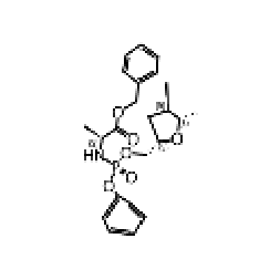 C[C@H](NP(=O)(OC[C@@H]1C[C@@H](C)[C@H](C)O1)Oc1ccccc1)C(=O)OCc1ccccc1